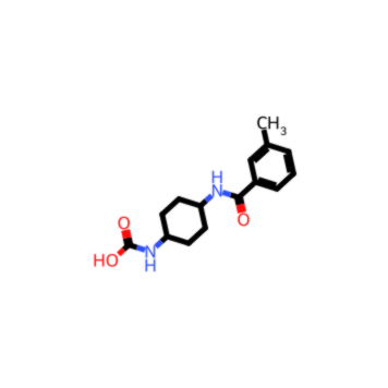 Cc1cccc(C(=O)NC2CCC(NC(=O)O)CC2)c1